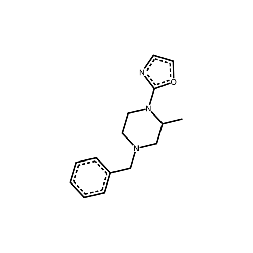 CC1CN(Cc2ccccc2)CCN1c1ncco1